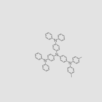 Cc1ccc(N(c2ccc(C)cc2)c2ccc(N(c3ccc(N(c4ccccc4)c4ccccc4)cc3)c3ccc(N(c4ccccc4)c4ccccc4)cc3)cc2)cc1